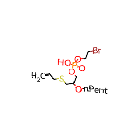 C=CCSCC(COP(=O)(O)OCCBr)OCCCCC